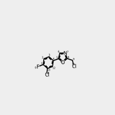 Fc1ccc(-c2cnc(CCl)o2)cc1Cl